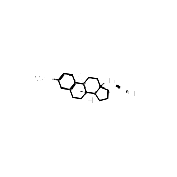 C=C=C[C@@H]1CC[C@H]2[C@@H]3CCC4=C(CC=C(OC)C4)[C@@]3(C)CCC12CCC